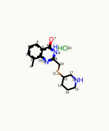 Cc1cccc2c(=O)[nH]c(CSC3CCCNC3)nc12.Cl